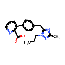 CCCn1nc(C)nc1Cc1ccc(-c2cccnc2C(=O)O)cc1